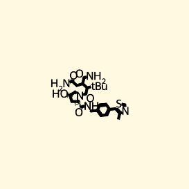 Cc1ncsc1-c1ccc(CNC(=O)[C@@H]2C[C@@H](O)CN2C(=O)C(C(CC(N)=O)C(N)=O)C(C)(C)C)cc1